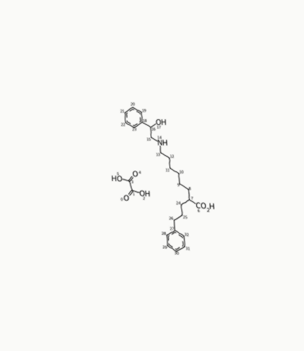 O=C(O)C(=O)O.O=C(O)C(CCCCCCNCC(O)c1ccccc1)CCCc1ccccc1